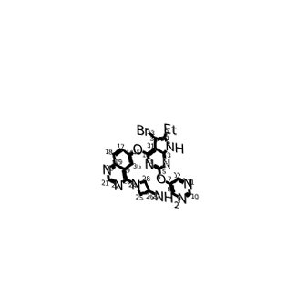 CCc1[nH]c2nc(Oc3cncnc3)nc(Oc3ccc4ncnc(N5CC(N)C5)c4c3)c2c1Br